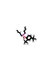 CCCCP(CCCC)Oc1ccc(C(C)(C)C)cc1C(C)(C)C